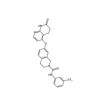 O=C1CCc2c(Oc3ccc4c(c3)CN(C(=O)Nc3cccc(C(F)(F)F)c3)CC4)ccnc2N1